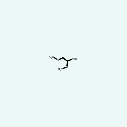 CNC(CO[N+](=O)[O-])O[N+](=O)[O-]